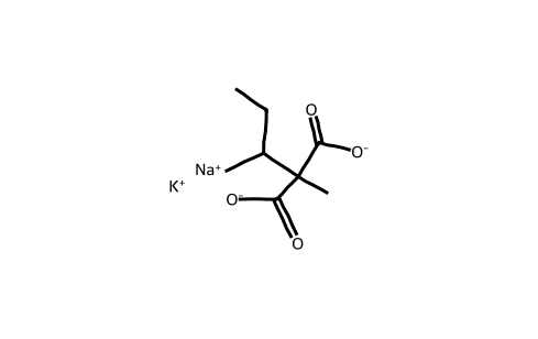 CCC(C)C(C)(C(=O)[O-])C(=O)[O-].[K+].[Na+]